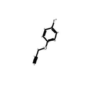 [C]#CCOc1ccc(F)cc1